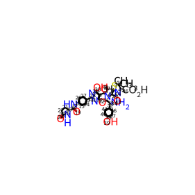 CC1(C)S[C@@H]2[C@H](N(C(=O)c3cnc(-c4ccc(NC(=O)[C@@H]5CCC(=O)N5)cc4)nc3O)C(=O)C(N)c3ccc(O)cc3)C(=O)N2[C@H]1C(=O)O